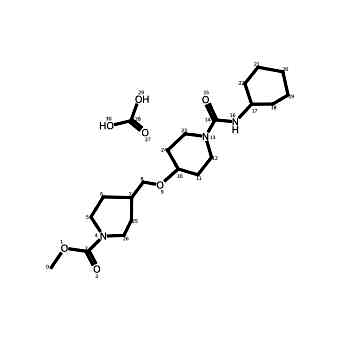 COC(=O)N1CCC(COC2CCN(C(=O)NC3CCCCC3)CC2)CC1.O=C(O)O